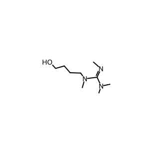 CN=C(N(C)C)N(C)CCCCO